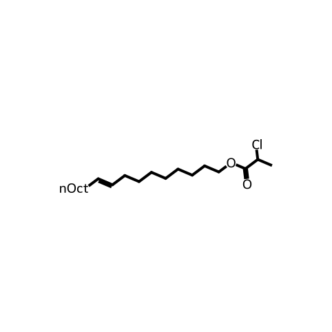 CCCCCCCCC=CCCCCCCCCOC(=O)C(C)Cl